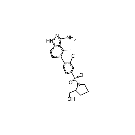 Cc1c(-c2ccc(S(=O)(=O)N3CCCC3CO)cc2Cl)ccc2[nH]nc(N)c12